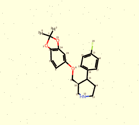 [2H]C1([2H])Oc2ccc(OC[C@@H]3CNCCC3c3ccc(F)cc3)cc2O1